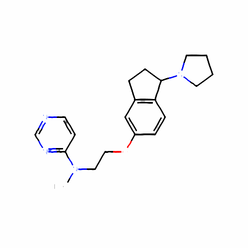 CN(CCOc1ccc2c(c1)CCC2N1CCCC1)c1ccncn1